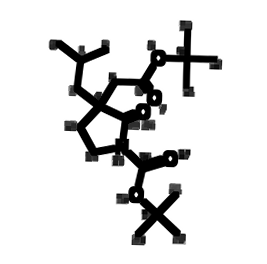 CC(C)CC1(CC(=O)OC(C)(C)C)CCN(C(=O)OC(C)(C)C)C1=O